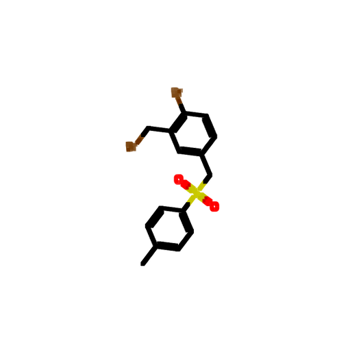 Cc1ccc(S(=O)(=O)Cc2ccc(Br)c(CBr)c2)cc1